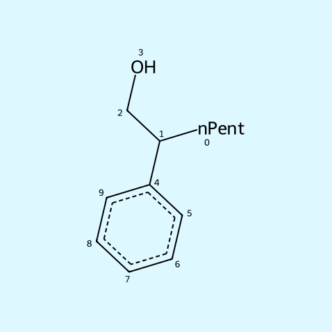 CCCCCC(CO)c1ccccc1